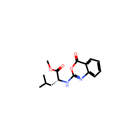 COC(=O)[C@@H](CC(C)C)Nc1nc2ccccc2c(=O)o1